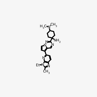 CCn1c(C)nc2ccc(-c3ccn4nc(C5(N)CCC(N(C)C)CC5)ncc34)nc21